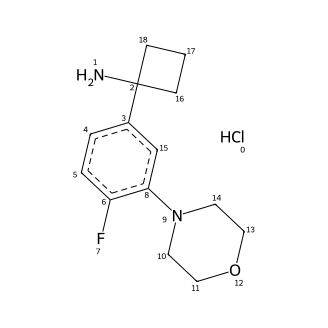 Cl.NC1(c2ccc(F)c(N3CCOCC3)c2)CCC1